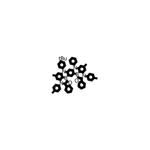 Cc1ccc(N2c3cc(C)cc4c3B(c3cc5c(cc3N4c3ccccc3)N(c3ccc(C(C)(C)C)cc3)c3cc(C)cc4c3B5c3oc5ccccc5c3N4c3ccc(C)cc3)c3oc4ccccc4c32)cc1